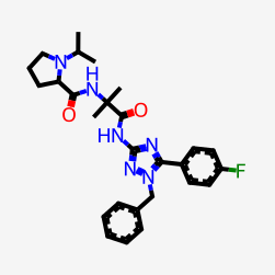 CC(C)N1CCCC1C(=O)NC(C)(C)C(=O)Nc1nc(-c2ccc(F)cc2)n(Cc2ccccc2)n1